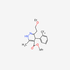 CCCOC(=O)C1=C(C)NN=C(CCOCC)C1c1ccccc1C(F)(F)F